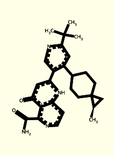 C[C@@H]1CC12CCC(c1cc(C(C)(C)C)ncc1-c1cc(=O)c3c(C(N)=O)nccc3[nH]1)CC2